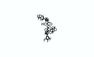 COC1C(SC2COCC(n3cc(-c4cnc(C(F)(F)F)nc4)nn3)C2O)OC(COC(C)=O)C(OC(C)=O)C1n1cc(-c2cc(F)c(F)c(F)c2)nn1